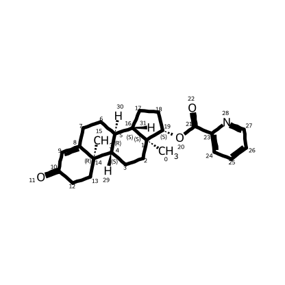 C[C@]12CC[C@H]3[C@@H](CCC4=CC(=O)CC[C@@]43C)[C@@H]1CC[C@@H]2OC(=O)c1ccccn1